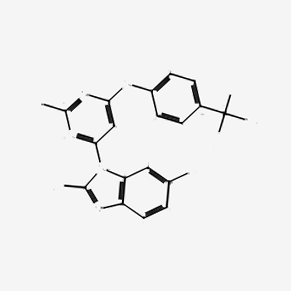 Cc1nc2ccc(Br)cc2n1-c1cc(Nc2ccc(C(F)(F)F)cc2)nc(Cl)n1